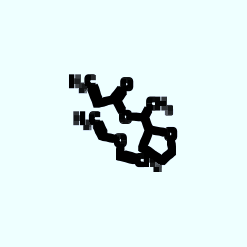 C=CC(=O)OC(C)C1CCCO1.C=COC=C